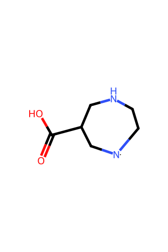 O=C(O)C1C[N]CCNC1